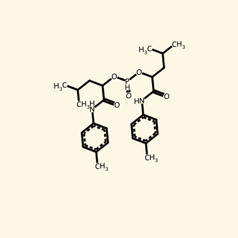 Cc1ccc(NC(=O)C(CC(C)C)O[PH](=O)OC(CC(C)C)C(=O)Nc2ccc(C)cc2)cc1